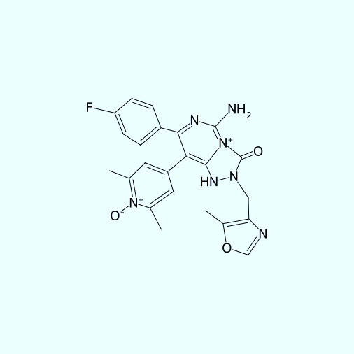 Cc1ocnc1Cn1[nH]c2c(-c3cc(C)[n+]([O-])c(C)c3)c(-c3ccc(F)cc3)nc(N)[n+]2c1=O